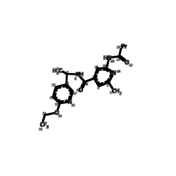 Cc1cc(C(=O)NC(C)c2ccc(OCC(F)(F)F)nc2)cc(NC(=O)C(C)C)n1